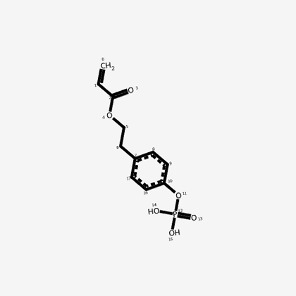 C=CC(=O)OCCc1ccc(OP(=O)(O)O)cc1